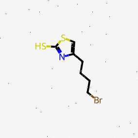 Sc1nc(CCCCBr)cs1